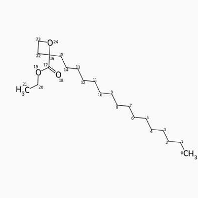 CCCCCCCCCCCCCCCCC1(C(=O)OCC)CCO1